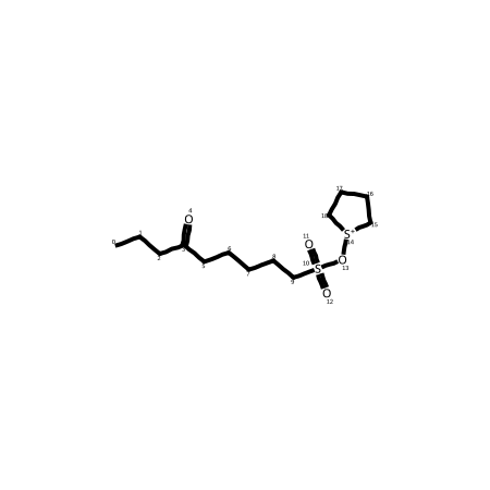 CCCC(=O)CCCCCS(=O)(=O)O[S+]1CCCC1